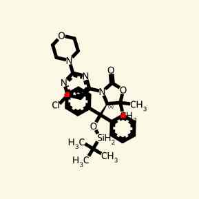 CC(C)(C)[SiH2]OC(c1ccccc1)(c1ccccc1)[C@H]1N(c2cc(Cl)nc(N3CCOCC3)n2)C(=O)OC1(C)C